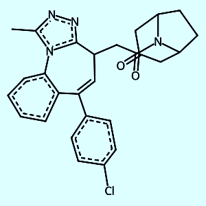 Cc1nnc2n1-c1ccccc1C(c1ccc(Cl)cc1)=CC2CC(=O)N1C2CCC1CC(=O)C2